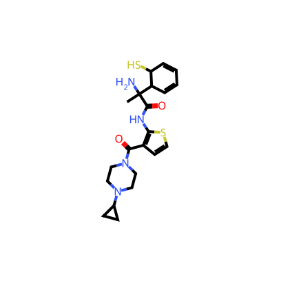 CC(N)(C(=O)Nc1sccc1C(=O)N1CCN(C2CC2)CC1)C1C=CC=CC1S